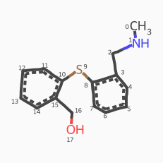 CNCc1ccccc1Sc1ccccc1CO